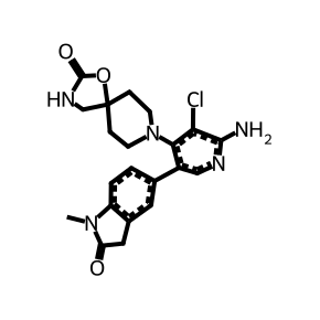 CN1C(=O)Cc2cc(-c3cnc(N)c(Cl)c3N3CCC4(CC3)CNC(=O)O4)ccc21